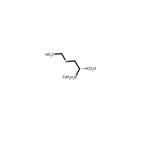 N[C@H](CSCC(=O)O)C(=O)O.[CaH2]